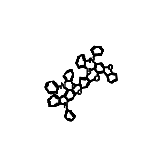 c1ccc(N2c3ccccc3B3c4cc5c(cc4Oc4c3c2cc2oc3ccccc3c42)Oc2cc3c(c4c2B5c2ccccc2N4c2ccccc2)c2ccccc2n3-c2ccccc2)cc1